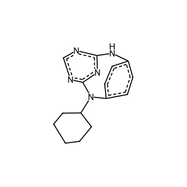 c1nc2nc(n1)N(C1CCCCC1)c1ccc(cc1)N2